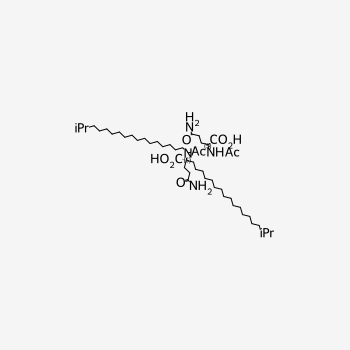 CC(=O)N(CCCCCCCCCCCCCCCC(C)C)[C@@](CCCCCCCCCCCCCCCC(C)C)(CCC(N)=O)C(=O)O.CC(=O)N[C@@H](CCC(N)=O)C(=O)O